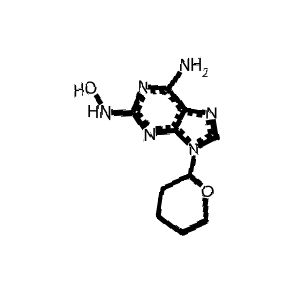 Nc1nc(NO)nc2c1ncn2C1CCCCO1